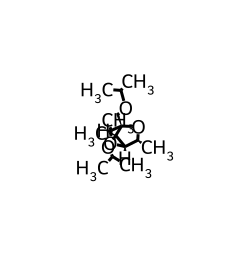 CC(C)OC[C@]12O[C@@H](C)[C@H](OC1(C)C)[C@@H]2OC(C)C